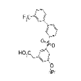 CCCOc1cc(CC(=O)O)cc(S(=O)(=O)c2cccc(-c3cccc(C(F)(F)F)c3)c2)c1